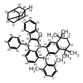 Cc1cccc(C)c1N1c2cc3c(cc2B2c4oc5ccc([C@]67CC8CC(C[C@H](C8)C6)C7)cc5c4N(c4ccccc4)c4cccc1c42)C(C)(C)CCC3(C)C